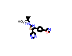 O=C(O)C1(CNc2nc(-c3ccc(-c4cnco4)cc3)c(-c3cncnc3)s2)CC1